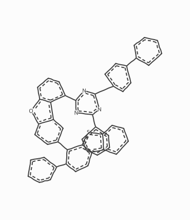 c1ccc(-c2ccc(-c3nc(-c4ccccc4)nc(-c4cccc5oc6ccc(-c7c(-c8ccccc8)ccc8c7sc7ccccc78)cc6c45)n3)cc2)cc1